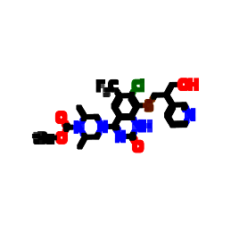 CC1CN(c2nc(=O)[nH]c3c(SCC(CO)c4cccnc4)c(Cl)c(C(F)(F)F)cc23)CC(C)N1C(=O)OC(C)(C)C